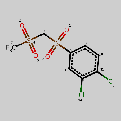 O=S(=O)(CS(=O)(=O)C(F)(F)F)c1ccc(Cl)c(Cl)c1